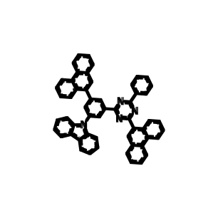 c1ccc(-c2nc(-c3cc(-c4cc5ccccc5c5ccccc45)cc(-n4c5ccccc5c5ccccc54)c3)nc(-c3cc4ccccc4c4ccccc34)n2)cc1